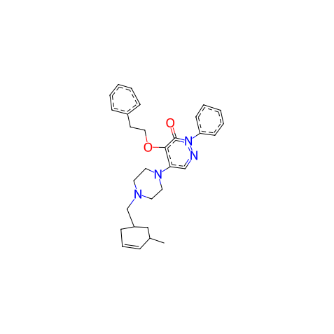 CC1C=CCC(CN2CCN(c3cnn(-c4ccccc4)c(=O)c3OCCc3ccccc3)CC2)C1